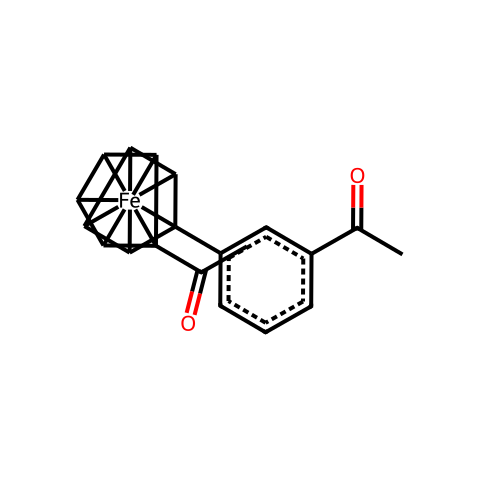 CC(=O)c1cccc([C]23[CH]4[CH]5[CH]6[CH]2[Fe]56432789[CH]3[CH]2[CH]7[C]8(C(C)=O)[CH]39)c1